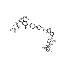 CCN(C)S(=O)(=O)Nc1ccc(F)c(Oc2ccc3ncc(OCC4CCN(C5CCC(c6cc7c(cc6F)c(N6CCC(=O)NC6=O)nn7C)CC5)CC4)nc3c2)c1C#N